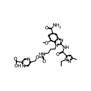 CCn1nc(C)cc1C(=O)Nc1nc2cc(C(N)=O)cc(OC)c2n1CCCNC(=O)OCc1cnc(C(=O)O)cn1